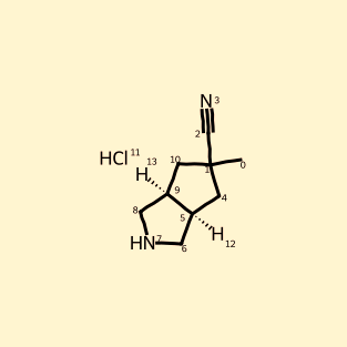 CC1(C#N)C[C@H]2CNC[C@H]2C1.Cl